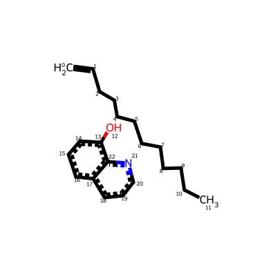 C=CCCCCCCCCCC.Oc1cccc2cccnc12